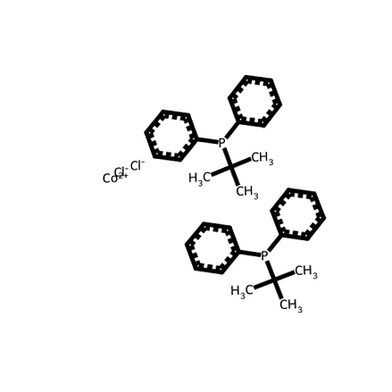 CC(C)(C)P(c1ccccc1)c1ccccc1.CC(C)(C)P(c1ccccc1)c1ccccc1.[Cl-].[Cl-].[Co+2]